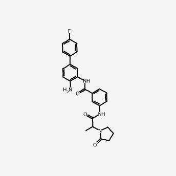 CC(C(=O)Nc1cccc(C(=O)Nc2cc(-c3ccc(F)cc3)ccc2N)c1)N1CCCC1=O